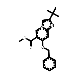 COC(=O)c1cn2cc(C(C)(C)C)nc2cc1OCc1ccccc1